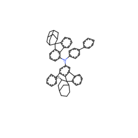 CCC1CC2CCCC(C2)C12c1ccccc1-c1cc(N(c3ccc(-c4ccccc4)cc3)c3cccc4c3-c3ccccc3C43C4CC5CC(C4)CC3C5)cc(-c3ccccc3)c12